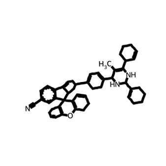 CC1=C(C2C=CCCC2)NC(C2=CCCCC2)NC1C1=CC=C(C2CC=C3c4ccc(C#N)cc4C4(C5=C(CCC=C5)OC5=C4CCC=C5)C3C2)CC1